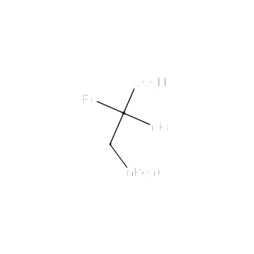 CCCCCCC(CC)(CCC)C(=O)O